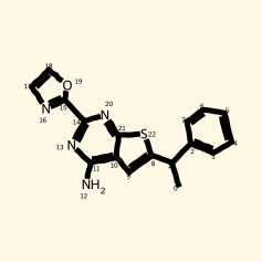 CC(c1ccccc1)c1cc2c(N)nc(-c3ncco3)nc2s1